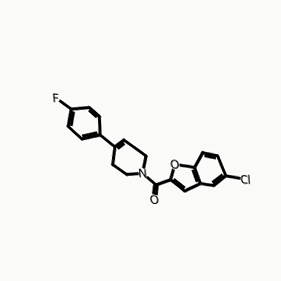 O=C(c1cc2cc(Cl)ccc2o1)N1CC=C(c2ccc(F)cc2)CC1